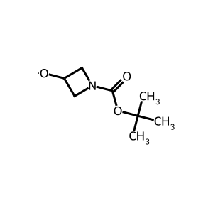 CC(C)(C)OC(=O)N1CC([O])C1